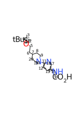 CC(C)(C)[Si](C)(C)OCCC1CCN(c2ccc(NC(=O)O)cn2)CC1